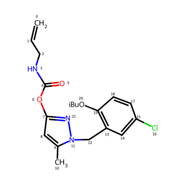 C=CCNC(=O)Oc1cc(C)n(Cc2cc(Cl)ccc2OCC(C)C)n1